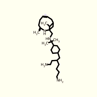 C=C1CC/C=C\CC2CC(CNC(C)(C)C3CCC(CC(CCN)CCCCN)CC3)(N1)C2C